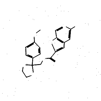 COc1ccc(C2(CNC(=O)c3cc4cc(Cl)ncc4[nH]3)OCCO2)cc1